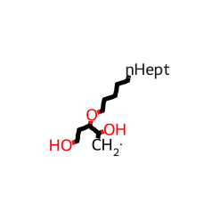 [CH2]C(O)C(CCO)OCCCCCCCCCCCC